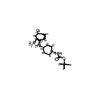 CC(C)(C)OC(=O)N[C@H]1CC[C@@H](Nc2ccc(Cl)cc2N)CC1